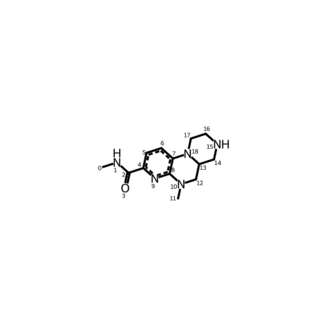 CNC(=O)c1ccc2c(n1)N(C)CC1CNCCN21